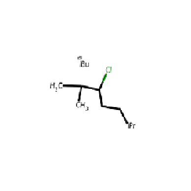 CC[C@H](C)C(C)(C)C(Cl)CCC(C)C